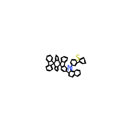 c1ccc2c(c1)-c1ccccc1C21c2ccccc2C2(c3ccccc3-c3c2ccc2c4ccc5ccccc5c4n(-c4ccc5sc6ccccc6c5c4)c32)c2ccccc21